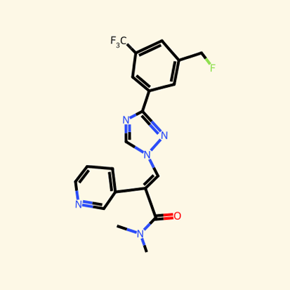 CN(C)C(=O)C(=Cn1cnc(-c2cc(CF)cc(C(F)(F)F)c2)n1)c1cccnc1